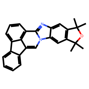 CC1(C)OC(C)(C)c2cc3c(cc21)nc1c2cccc4c5ccccc5c(cn31)c42